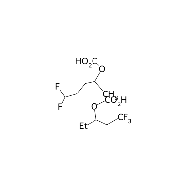 CC(CCC(F)F)OC(=O)O.CCC(CC(F)(F)F)OC(=O)O